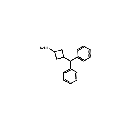 CC(=O)NC1CC(C(c2ccccc2)c2ccccc2)C1